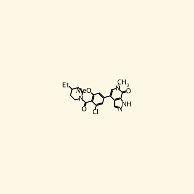 CCC1CCN(C(=O)c2c(Cl)cc(-c3cn(C)c(=O)c4[nH]ncc34)cc2OC)CC1